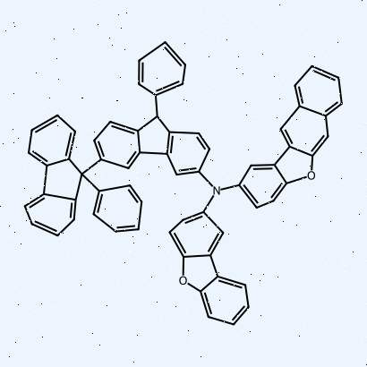 c1ccc(C2c3ccc(N(c4ccc5oc6ccccc6c5c4)c4ccc5oc6cc7ccccc7cc6c5c4)cc3-c3cc(C4(c5ccccc5)c5ccccc5-c5ccccc54)ccc32)cc1